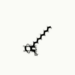 CCCCCCCCCCc1sc(Br)c2c1OCCO2